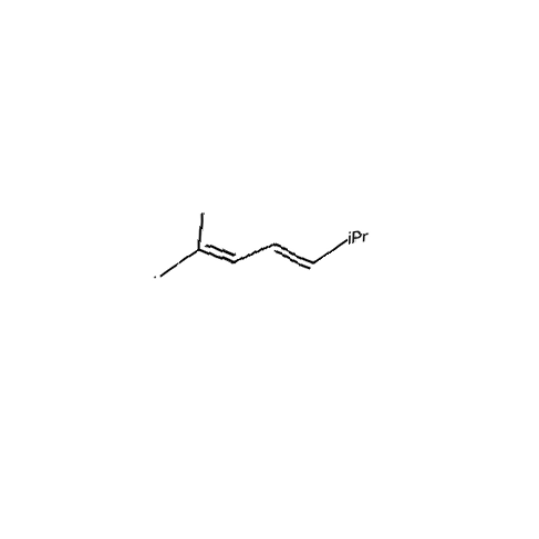 [CH2]C(C)=CC=CC(C)C